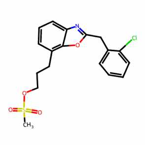 CS(=O)(=O)OCCCc1cccc2nc(Cc3ccccc3Cl)oc12